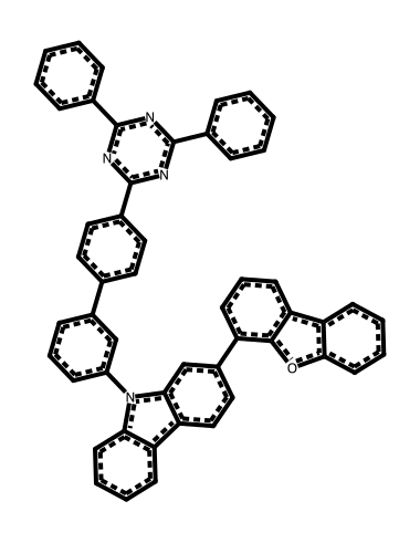 c1ccc(-c2nc(-c3ccccc3)nc(-c3ccc(-c4cccc(-n5c6ccccc6c6ccc(-c7cccc8c7oc7ccccc78)cc65)c4)cc3)n2)cc1